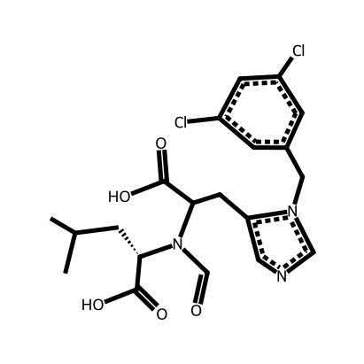 CC(C)C[C@@H](C(=O)O)N(C=O)C(Cc1cncn1Cc1cc(Cl)cc(Cl)c1)C(=O)O